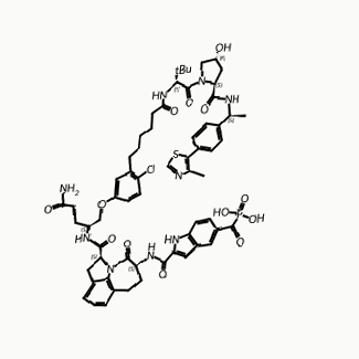 Cc1ncsc1-c1ccc([C@H](C)NC(=O)[C@@H]2C[C@@H](O)CN2C(=O)[C@@H](NC(=O)CCCCCc2cc(OC[C@H](CCC(N)=O)NC(=O)[C@@H]3Cc4cccc5c4N3C(=O)[C@@H](NC(=O)c3cc4cc(C(=O)P(=O)(O)O)ccc4[nH]3)CC5)ccc2Cl)C(C)(C)C)cc1